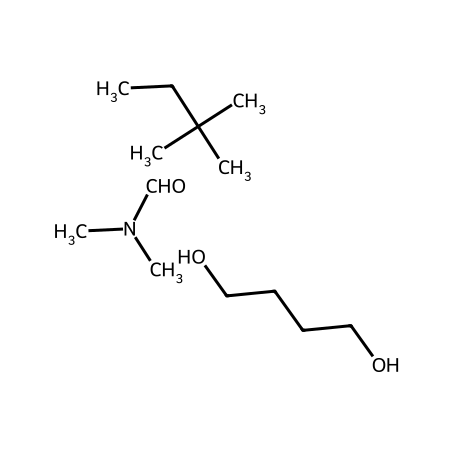 CCC(C)(C)C.CN(C)C=O.OCCCCO